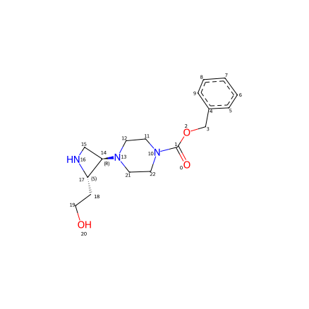 O=C(OCc1ccccc1)N1CCN([C@@H]2CN[C@H]2CCO)CC1